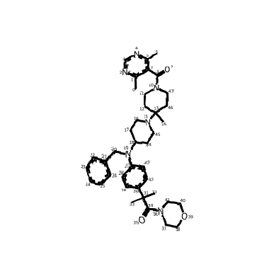 Cc1ncnc(C)c1C(=O)N1CCC(C)(N2CCC(N(Cc3ccccc3)c3ccc(C(C)(C)C(=O)N4CCOCC4)cc3)CC2)CC1